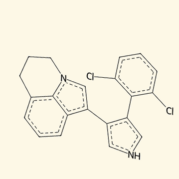 Clc1cccc(Cl)c1-c1c[nH]cc1-c1cn2c3c(cccc13)CCC2